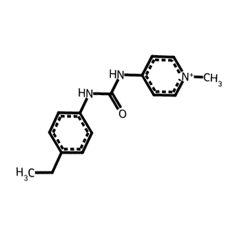 CCc1ccc(NC(=O)Nc2cc[n+](C)cc2)cc1